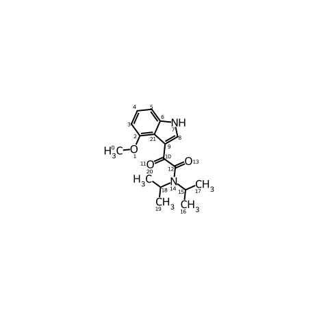 COc1cccc2[nH]cc(C(=O)C(=O)N(C(C)C)C(C)C)c12